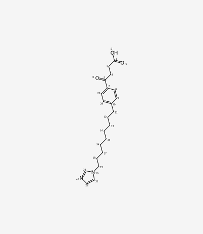 O=C(O)CCC(=O)c1ccc(CCCCCCCCCn2ccnc2)cc1